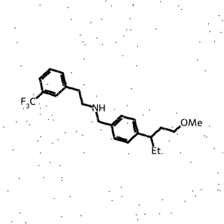 CCC(CCOC)c1ccc(CNCCc2cccc(C(F)(F)F)c2)cc1